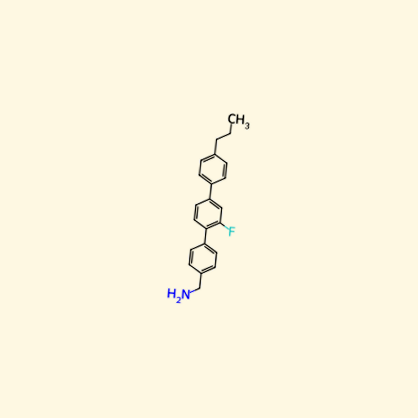 CCCc1ccc(-c2ccc(-c3ccc(CN)cc3)c(F)c2)cc1